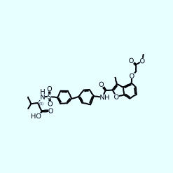 COC(=O)COc1cccc2oc(C(=O)Nc3ccc(-c4ccc(S(=O)(=O)N[C@H](C(=O)O)C(C)C)cc4)cc3)c(C)c12